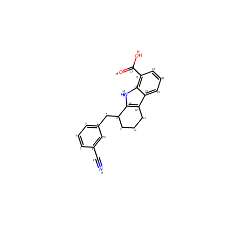 N#Cc1cccc(CC2CCCc3c2[nH]c2c(C(=O)O)cccc32)c1